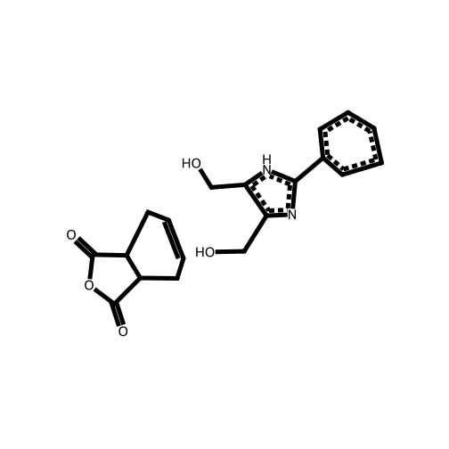 O=C1OC(=O)C2CC=CCC12.OCc1nc(-c2ccccc2)[nH]c1CO